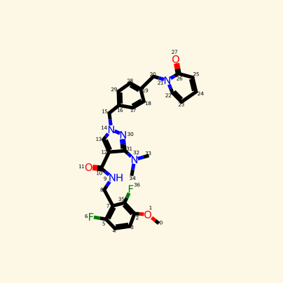 COc1ccc(F)c(CNC(=O)c2cn(Cc3ccc(Cn4ccccc4=O)cc3)nc2N(C)C)c1F